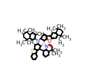 Cc1cc2c(cc1N1c3cc4sc5ccccc5c4c4c3B(c3c1ccc1c3oc3cc5c(cc31)C(C)(C)CCC5(C)C)N1c3ccccc3C(C)(C)c3cccc-4c31)C(C)(C)CCC2(C)C